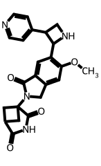 COc1cc2c(cc1C1NCC1c1ccncc1)C(=O)N(C13CC(C1)C(=O)NC3=O)C2